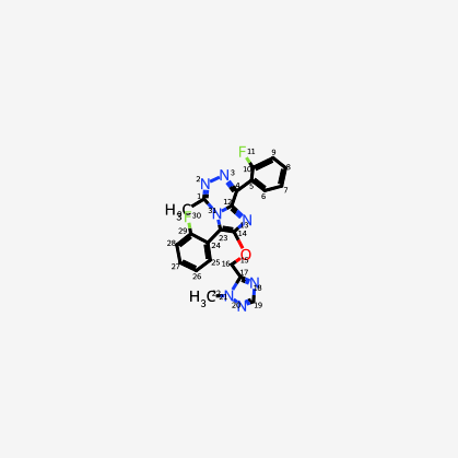 Cc1nnc(-c2ccccc2F)c2nc(OCc3ncnn3C)c(-c3ccccc3F)n12